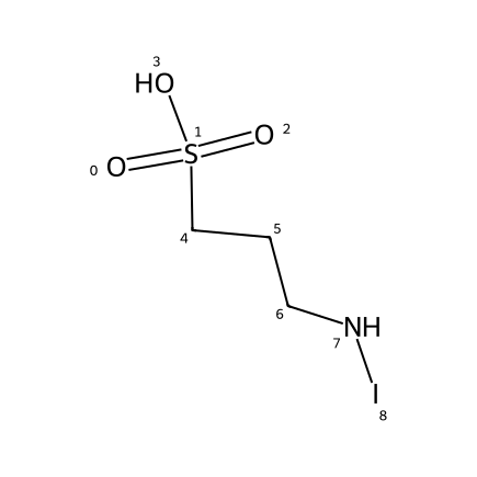 O=S(=O)(O)CCCNI